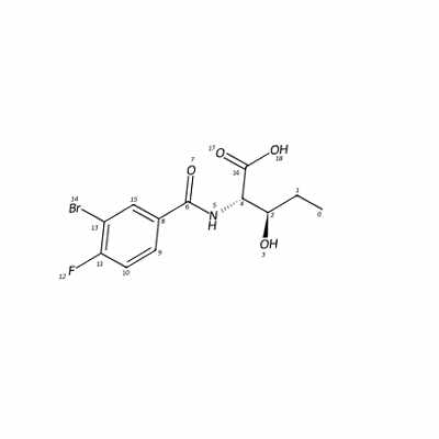 CC[C@@H](O)[C@H](NC(=O)c1ccc(F)c(Br)c1)C(=O)O